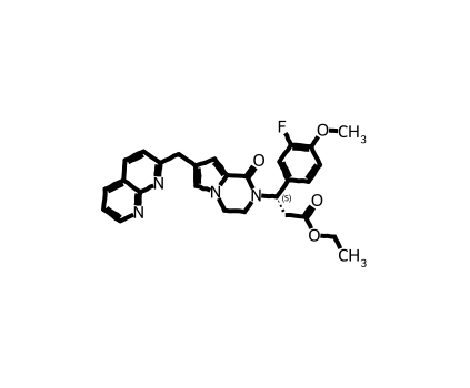 CCOC(=O)C[C@@H](c1ccc(OC)c(F)c1)N1CCn2cc(Cc3ccc4cccnc4n3)cc2C1=O